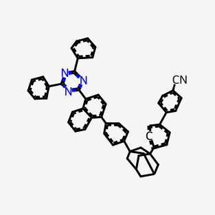 N#Cc1ccc(-c2ccc(C34CC5CC(C3)CC(c3ccc(-c6ccc(-c7nc(-c8ccccc8)nc(-c8ccccc8)n7)c7ccccc67)cc3)(C5)C4)cc2)cc1